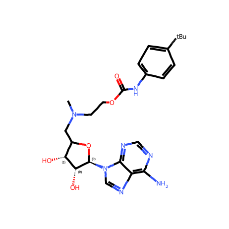 CN(CCOC(=O)Nc1ccc(C(C)(C)C)cc1)CC1O[C@@H](n2cnc3c(N)ncnc32)[C@H](O)[C@@H]1O